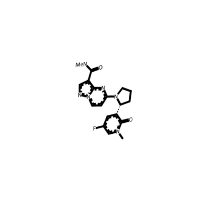 CNC(=O)c1cnn2ccc(N3CCC[C@@H]3c3cc(F)cn(C)c3=O)nc12